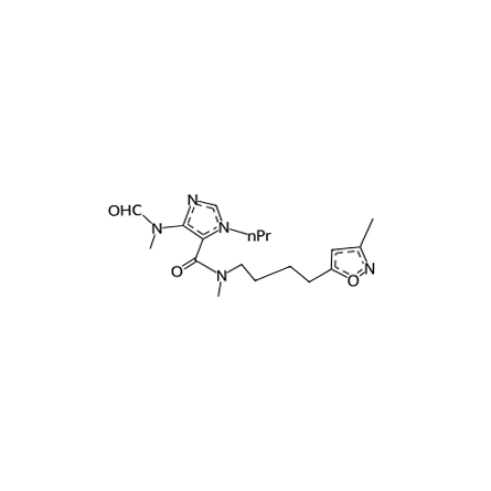 CCCn1cnc(N(C)C=O)c1C(=O)N(C)CCCCc1cc(C)no1